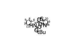 CC(C)(C)OC(=O)N[C@H](Cc1ccccc1)C(=O)OC1=NC=CCC1=S